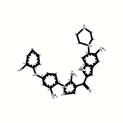 Cc1cc2cc(C(=O)c3cnn(-c4ccc(Oc5ccccc5F)cc4C)c3N)[nH]c2cc1N1CCOCC1